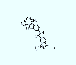 Cc1c([C@H]2CCCN2C)[nH]c2cc(NC(=O)c3ccc4c(C)nn(C)c4c3)ncc12